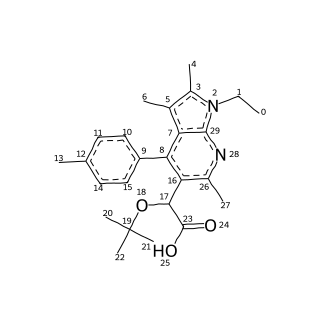 CCn1c(C)c(C)c2c(-c3ccc(C)cc3)c(C(OC(C)(C)C)C(=O)O)c(C)nc21